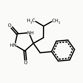 CC(C)CC1(Cc2ccccc2)NC(=O)NC1=O